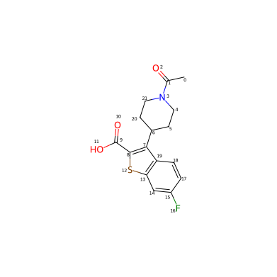 CC(=O)N1CCC(c2c(C(=O)O)sc3cc(F)ccc23)CC1